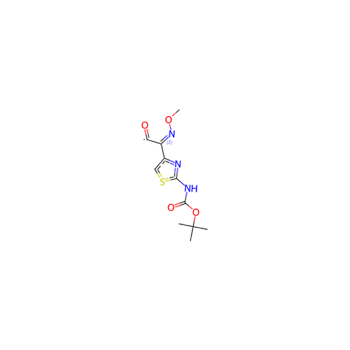 CO/N=C(\[C]=O)c1csc(NC(=O)OC(C)(C)C)n1